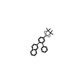 CC1(C)OB(c2ccc(-c3ccc4ccccc4c3)c(-c3ccccc3)c2)OC1(C)C